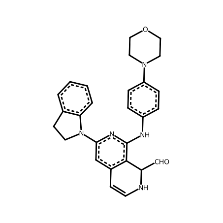 O=CC1NC=Cc2cc(N3CCc4ccccc43)nc(Nc3ccc(N4CCOCC4)cc3)c21